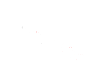 CC1(O)CCCC1C1CC2CC1CC2OCC(=O)OC(O)C(F)(F)S(=O)(=O)O